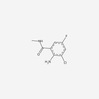 CNC(=O)c1cc(F)cc(Cl)c1N